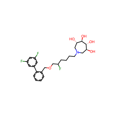 O[C@H]1[C@H](O)[C@@H](O)CN(CCCCC(F)COCc2ccccc2-c2cc(F)cc(F)c2)C[C@@H]1O